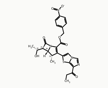 CCC(=O)c1ncn2cc(C3=C(C(=O)OCc4ccc([N+](=O)[O-])cc4)N4C(=O)[C@H]([C@@H](C)O)[C@H]4[C@H]3C)sc12